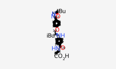 CC[C@H](C)[C@@H](COc1ccc(-c2nnc(C(C)(C)C)o2)cc1)Nc1ccc(C(=O)NCCC(=O)O)cc1